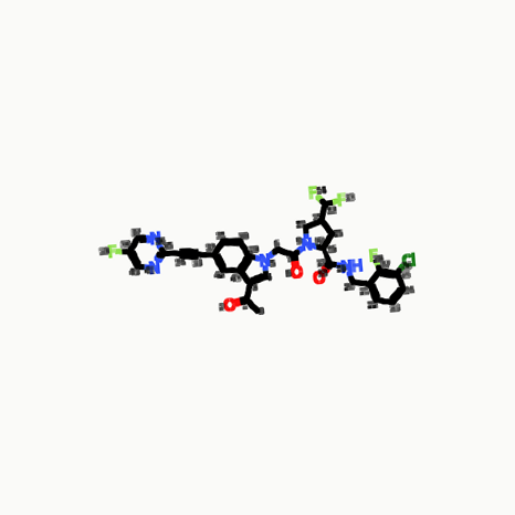 CC(=O)c1cn(CC(=O)N2CC(C(F)F)C[C@H]2C(=O)NCc2cccc(Cl)c2F)c2ccc(C#Cc3ncc(F)cn3)cc12